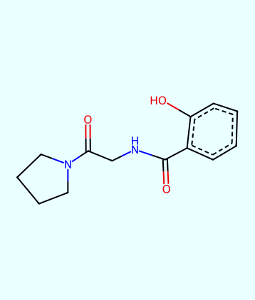 O=C(NCC(=O)N1CCCC1)c1ccccc1O